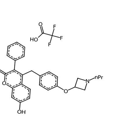 CCCN1CC(Oc2ccc(Cc3c(-c4ccccc4)c(=O)oc4cc(O)ccc34)cc2)C1.O=C(O)C(F)(F)F